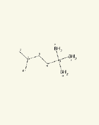 BC(B)(B)CCC(C)C